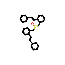 [O-][S+](Cc1ccccc1/C=C/c1ccccc1)Cc1ccccc1/C=C/c1ccccc1